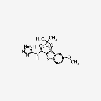 COc1ccc2sc(C(=O)Nc3nnn[nH]3)c(OC(C)(C)C)c2c1